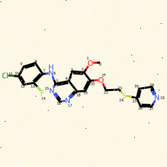 COc1cc2c(Nc3ccc(Cl)cc3F)ncnc2cc1OCCSc1ccncc1